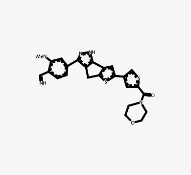 CNc1cc(-c2n[nH]c3c2Cc2sc(-c4csc(C(=O)N5CCOCC5)c4)cc2-3)ccc1C=N